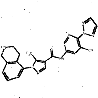 N#Cc1cc(NC(=O)c2cnn(-c3cccc4c3CCNC4)c2C(F)(F)F)cnc1-n1nccn1